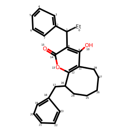 CCC(c1ccccc1)c1c(O)c2c(oc1=O)C(Cc1ccccc1)CCCCC2